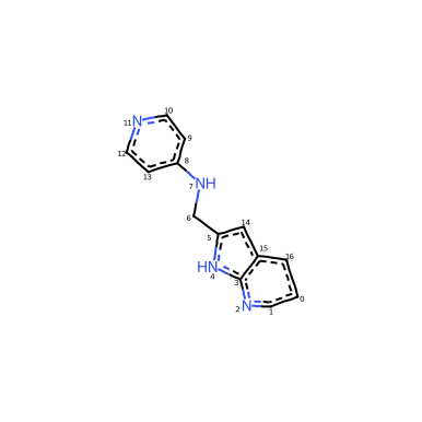 c1cnc2[nH]c(CNc3ccncc3)cc2c1